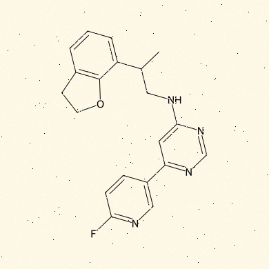 CC(CNc1cc(-c2ccc(F)nc2)ncn1)c1cccc2c1OCC2